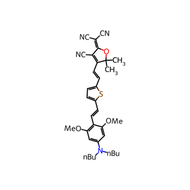 CCCCN(CCCC)c1cc(OC)c(/C=C/c2ccc(/C=C/C3=C(C#N)C(=C(C#N)C#N)OC3(C)C)s2)c(OC)c1